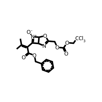 CC(C)=C(C(=O)OCc1ccccc1)C1=[N+]([O-])C2OC(COC(=O)OCC(Cl)(Cl)Cl)=NC12